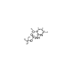 COc1ccc(C)nc1NC(=O)OC(C)(C)C